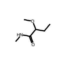 CCC(OC)C(=O)NC